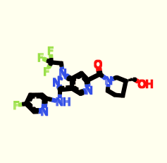 O=C(c1cc2c(cn1)c(Nc1ccc(F)cn1)nn2CC(F)(F)F)N1CCC[C@@H](CO)C1